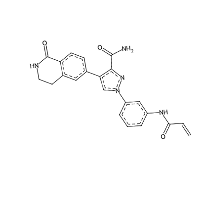 C=CC(=O)Nc1cccc(-n2cc(-c3ccc4c(c3)CCNC4=O)c(C(N)=O)n2)c1